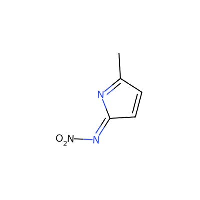 CC1=NC(=N[N+](=O)[O-])C=C1